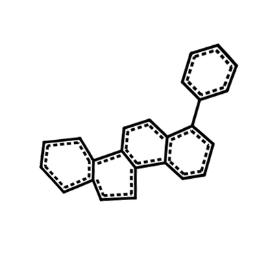 c1ccc(-c2cccc3c2ccc2c4ccccc4ccc32)cc1